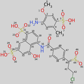 COc1cc(S(=O)(=O)O)c(C)cc1N.O=C(Nc1ccc(S(=O)(=O)O)c2cc(S(=O)(=O)O)cc(O)c12)c1ccc(C(CCCl)=S(=O)=O)cc1